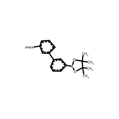 CCCCCCc1cccc(-c2cccc(B3OC(C)(C)C(C)(C)O3)c2)c1